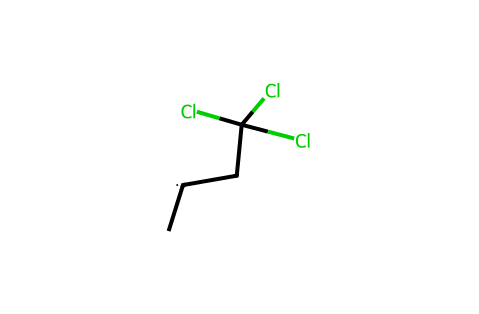 C[CH]CC(Cl)(Cl)Cl